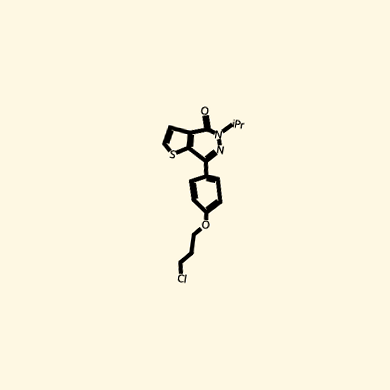 CC(C)n1nc(-c2ccc(OCCCCl)cc2)c2sccc2c1=O